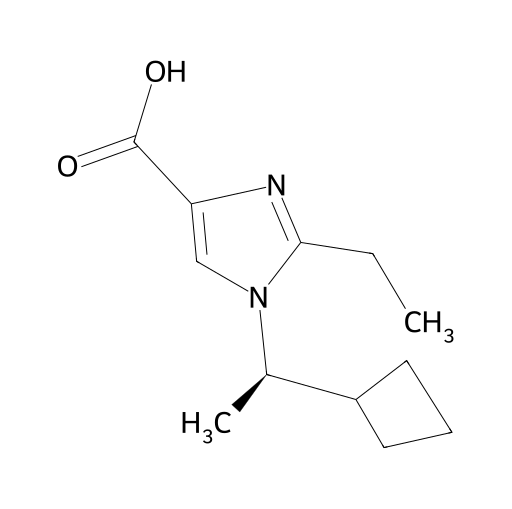 CCc1nc(C(=O)O)cn1[C@H](C)C1CCC1